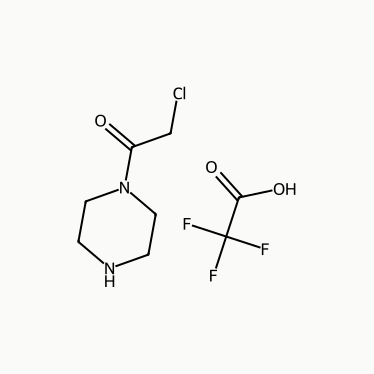 O=C(CCl)N1CCNCC1.O=C(O)C(F)(F)F